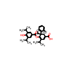 Cc1ccccc1C1(C(C)C)CC(C(=O)O)=CC(C(C)C)=C1OC(=O)c1cc(C(C)C)c(O)c(C(C)C)c1